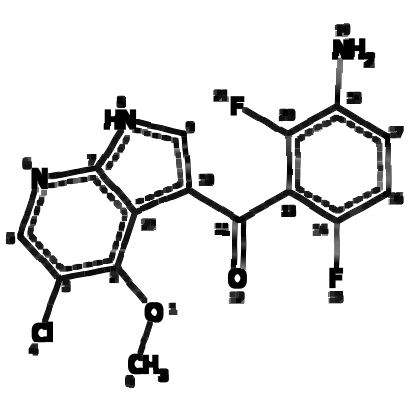 COc1c(Cl)cnc2[nH]cc(C(=O)c3c(F)ccc(N)c3F)c12